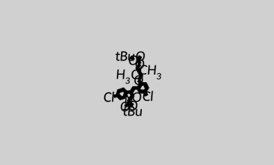 CC(C)(COC(=O)OC(C)(C)C)COc1ccc(Cl)cc1C=C1C(=O)N(C(=O)OC(C)(C)C)c2cc(Cl)ccc21